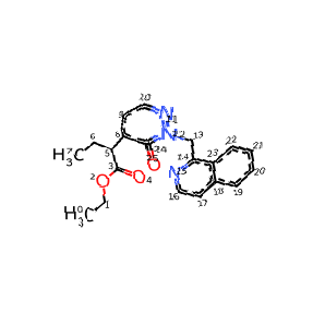 CCOC(=O)C(CC)c1ccnn(Cc2nccc3ccccc23)c1=O